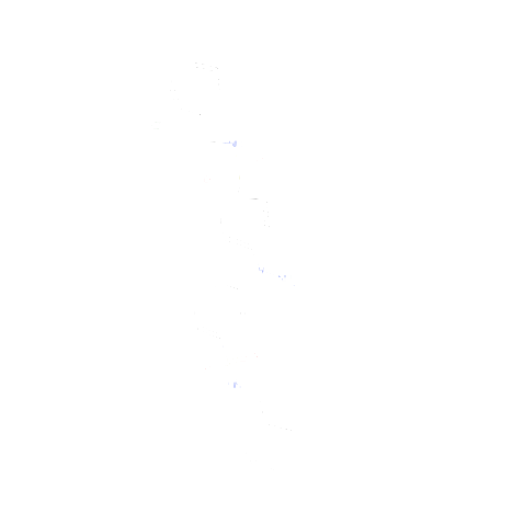 NN(c1[c]cc(S(=O)(=O)NCc2ccccc2Cl)cc1)c1cccc(S(=O)(=O)NCc2ccccc2)c1